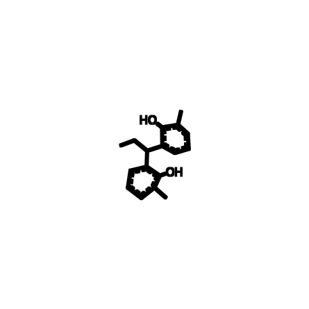 CCC(c1cccc(C)c1O)c1cccc(C)c1O